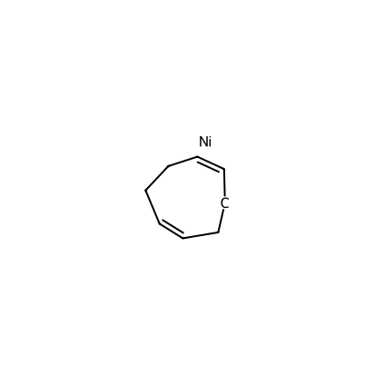 C1=C\CC/C=C\CC/1.[Ni]